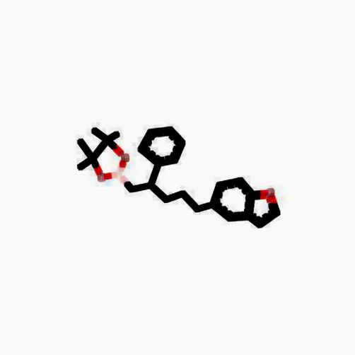 CC1(C)OB(CC(CCCc2ccc3occc3c2)c2ccccc2)OC1(C)C